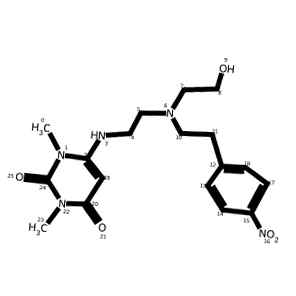 Cn1c(NCCN(CCO)CCc2ccc([N+](=O)[O-])cc2)cc(=O)n(C)c1=O